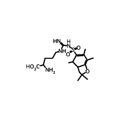 CC1=C2OC(C)(C)CC2C(C)C(S(=O)(=O)NC(=N)NCCCC(N)C(=O)O)=C1C